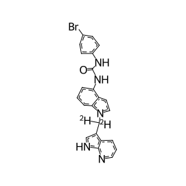 [2H]C([2H])(c1c[nH]c2ncccc12)n1ccc2c(NC(=O)Nc3ccc(Br)cc3)cccc21